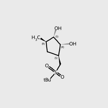 C[C@@H]1C[C@H](CS(=O)(=O)C(C)(C)C)[C@@H](O)[C@H]1O